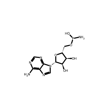 Nc1ncnc2c1ncn2[C@@H]1O[C@H](COP(N)O)[C@@H](O)[C@H]1O